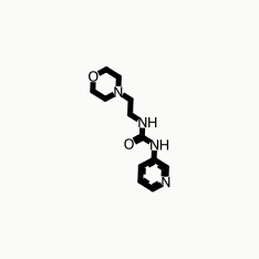 O=C(NCCN1CCOCC1)Nc1cccnc1